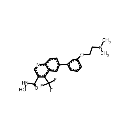 CN(C)CCOc1cccc(-c2ccc3ncc(C(=O)NO)c(C(F)(F)F)c3c2)c1